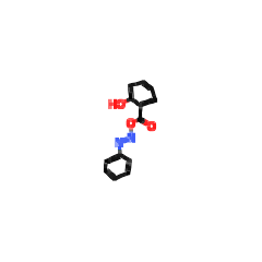 O=C(ON=Nc1ccccc1)c1ccccc1O